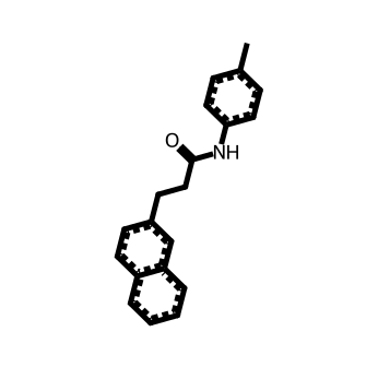 Cc1ccc(NC(=O)CCc2ccc3ccccc3c2)cc1